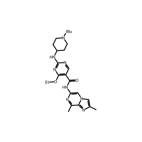 CCOc1nc(NC2CCN(C(C)(C)C)CC2)ncc1C(=O)Nc1cn2cc(C)nc2c(C)n1